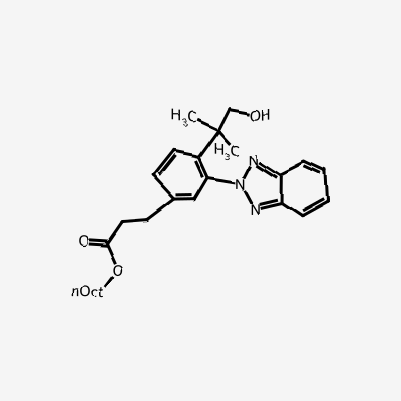 CCCCCCCCOC(=O)CCc1ccc(C(C)(C)CO)c(-n2nc3ccccc3n2)c1